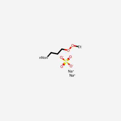 CCCCCCCCCCCCOOCC.O=S(=O)([O-])[O-].[Na+].[Na+]